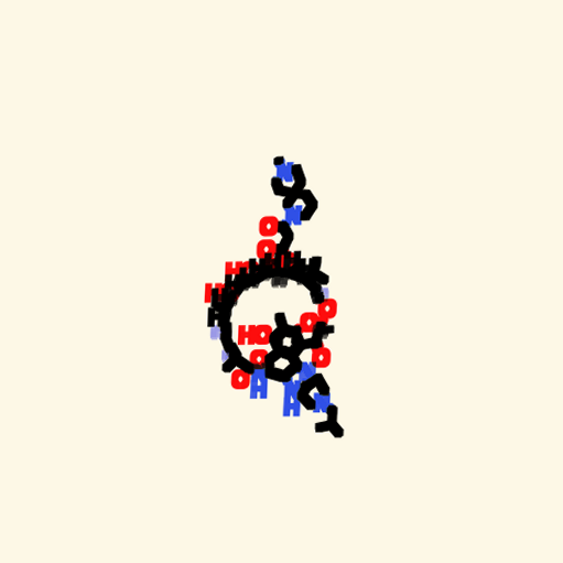 C/C1=C/C=C/[C@H](C)[C@H](O)[C@@H](C)[C@@H](O)[C@@H](C)[C@H](OC(=O)CC(=O)N2CCCC3(CCN(C)CC3)C2)[C@H](C)[C@@H](C(C)C)/C=C/O[C@@]2(C)Oc3c(C)c(O)c4c(c3C2=O)C2=NC3(CCN(CC(C)C)CC3)NC2=C(NC1=O)C4=O